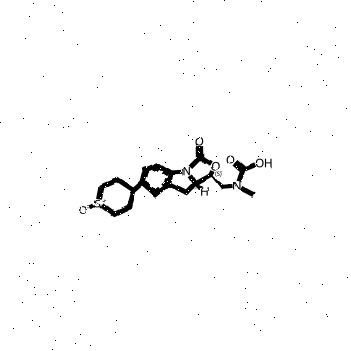 CN(C[C@@H]1OC(=O)N2c3ccc(C4CC[S+]([O-])CC4)cc3C[C@@H]12)C(=O)O